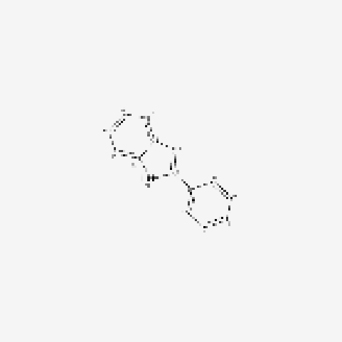 c1ccc(-c2cc3ncccc3[nH]2)cc1